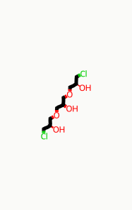 OC(COC[C@@H](O)CCl)COC[C@@H](O)CCl